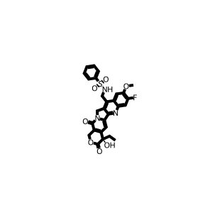 CC[C@@]1(O)C(=O)OCc2c1cc1n(c2=O)Cc2c-1nc1cc(F)c(OC)cc1c2CNS(=O)(=O)c1ccccc1